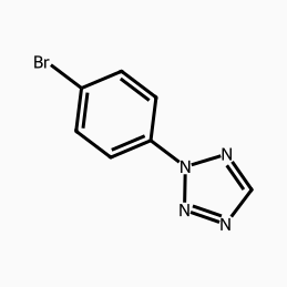 Brc1ccc(-n2ncnn2)cc1